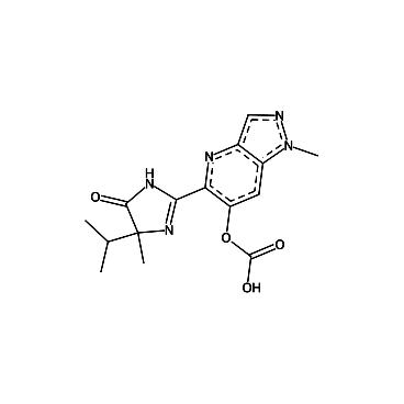 CC(C)C1(C)N=C(c2nc3cnn(C)c3cc2OC(=O)O)NC1=O